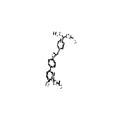 CC(C)N1CCC(COc2ccc(-c3ccc(=O)n(C)n3)cc2)CC1